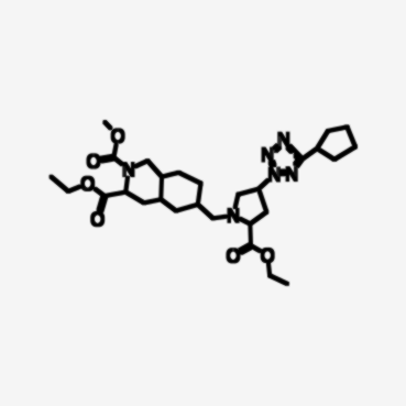 CCOC(=O)C1CC(n2nnc(C3CCCC3)n2)CN1CC1CCC2CN(C(=O)OC)C(C(=O)OCC)CC2C1